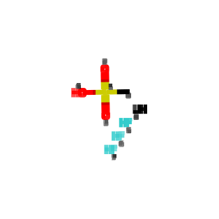 CS(=O)(=O)O.F.F.F.[LiH]